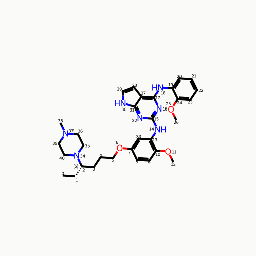 CC[C@@H](CCCOc1ccc(OC)c(Nc2nc(Nc3ccccc3OC)c3cc[nH]c3n2)c1)N1CCN(C)CC1